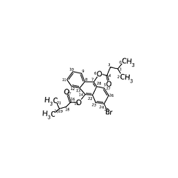 CC(C)CC(=O)Oc1c2ccccc2c(OC(=O)CC(C)C)c2cc(Br)ccc12